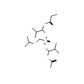 CCC(=O)OC(OP(=O)(COC(C)C)OC(OC(C)=O)C(C)C)C(C)C